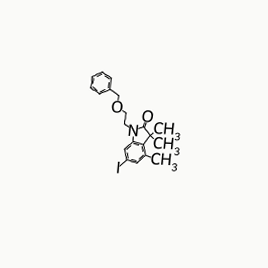 Cc1cc(I)cc2c1C(C)(C)C(=O)N2CCOCc1ccccc1